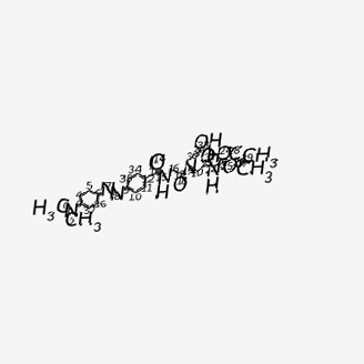 CN(C)c1ccc(N=Nc2ccc(C(=O)NCC(=O)N(CCNC(=O)OC(C)(C)C)CC(=O)O)cc2)cc1